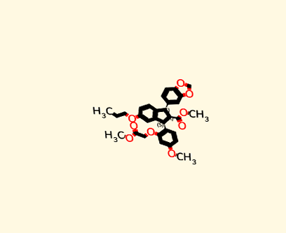 CCCOc1ccc2c(c1)[C@@H](c1ccc(OC)cc1OCC(=O)OC)[C@H](C(=O)OC)[C@H]2c1ccc2c(c1)OCO2